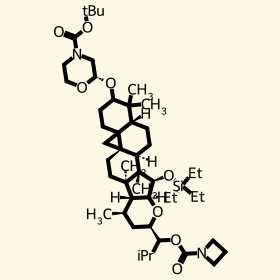 CC[Si](CC)(CC)O[C@H]1[C@H]2O[C@@H](C(OC(=O)N3CCC3)C(C)C)C[C@@H](C)[C@@H]2[C@@]2(C)CC[C@@]34CC35CCC(O[C@H]3CN(C(=O)OC(C)(C)C)CCO3)C(C)(C)[C@@H]5CC[C@H]4[C@]12C